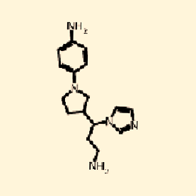 NCCC(C1CCN(c2ccc(N)cc2)C1)n1ccnc1